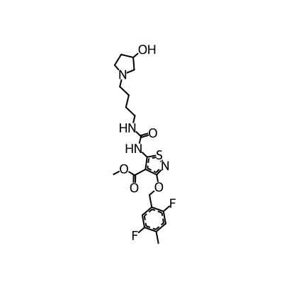 COC(=O)c1c(OCc2cc(F)c(C)cc2F)nsc1NC(=O)NCCCCN1CCC(O)C1